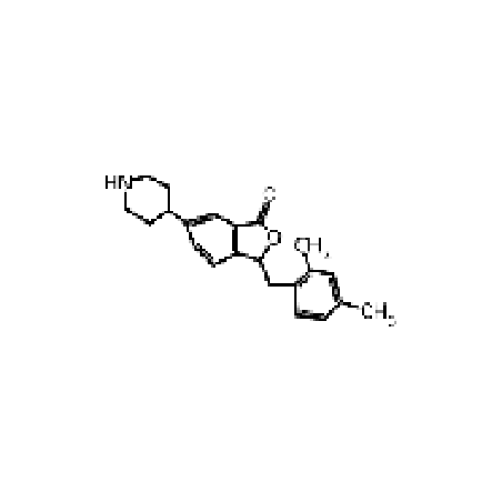 Cc1ccc(CC2OC(=O)c3cc(C4CCNCC4)ccc32)c(C)c1